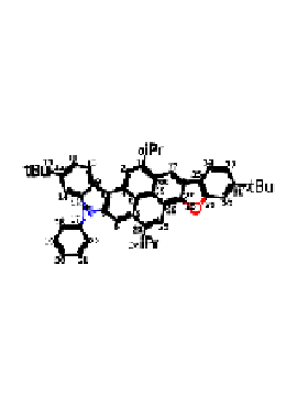 CC(C)c1cc2c3c(cc4c2c2ccc(C(C)(C)C)cc2n4-c2ccccc2)c(C(C)C)cc2c4oc5cc(C(C)(C)C)ccc5c4cc1c23